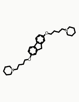 c1cc2c(cc1OCCCCN1CCCCC1)Cc1cc(OCCCCN3CCCCC3)ccc1-2